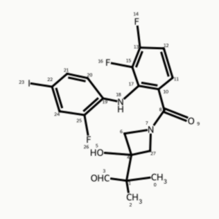 CC(C)(C=O)C1(O)CN(C(=O)c2ccc(F)c(F)c2Nc2ccc(I)cc2F)C1